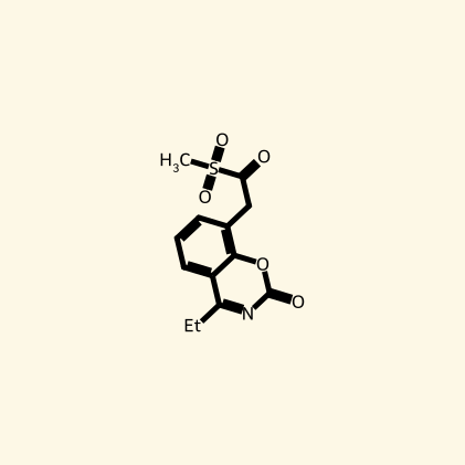 CCc1nc(=O)oc2c(CC(=O)S(C)(=O)=O)cccc12